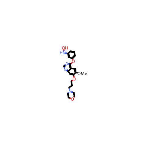 COc1cc2c(Oc3cccc(NO)c3)ncnc2cc1OCCCN1CCOCC1